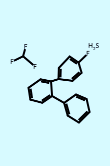 FC(F)F.Fc1ccc(-c2ccccc2-c2ccccc2)cc1.S